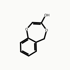 OC1=COc2ccccc2CO1